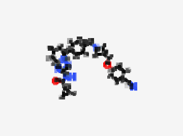 N#Cc1ccc(OCC2CN(Cc3ccc(-c4cccc5nc(NC(=O)C6CC6)nn45)cc3)C2)cc1